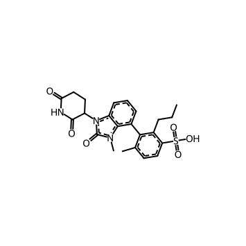 CCCc1c(S(=O)(=O)O)ccc(C)c1-c1cccc2c1n(C)c(=O)n2C1CCC(=O)NC1=O